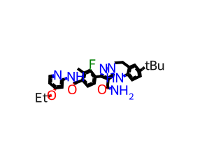 CCOc1ccnc(NC(=O)c2ccc(-c3nn4c(c3C(N)=O)Nc3ccc(C(C)(C)C)cc3CC4)c(F)c2C)c1